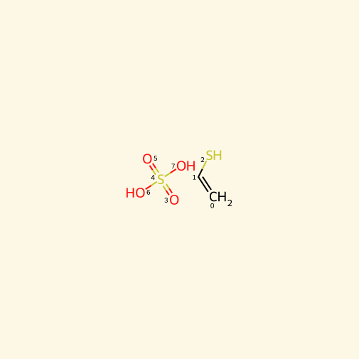 C=CS.O=S(=O)(O)O